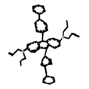 CCCN(CCC)c1ccc2c(-c3ccc(-c4ccccc4)cc3)c3cc(N(CCC)CCC)ccc3c(-c3ccc(-c4ccccc4)cc3)c2c1